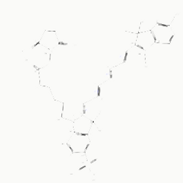 Cc1ccc2c(c1)C(C)(C)C(/C=C/C=C/C=C/C=C1/N(CCCCCC(=O)ON3C(=O)CCC3=O)c3ccc(S(=O)(=O)O)cc3C1(C)C)=[N+]2C